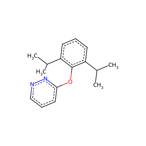 CC(C)c1cccc(C(C)C)c1Oc1cccnn1